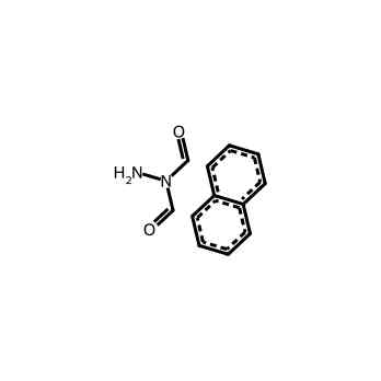 NN(C=O)C=O.c1ccc2ccccc2c1